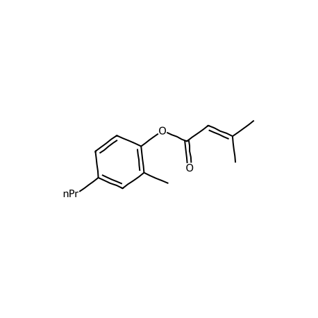 CCCc1ccc(OC(=O)C=C(C)C)c(C)c1